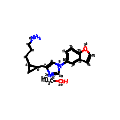 NCCCC1CC1c1cn(-c2ccc3occc3c2)cn1.O=C(O)O